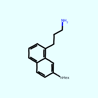 CCCCCCc1ccc2cccc(CCCN)c2c1